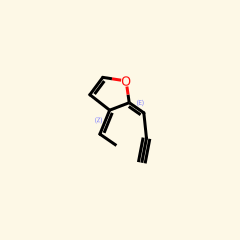 C#C/C=c1/occ/c1=C/C